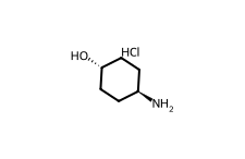 Cl.N[C@H]1CC[C@H](O)CC1